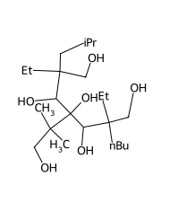 CCCCC(CC)(CO)C(O)C(O)(C(O)C(CC)(CO)CC(C)C)C(C)(C)CO